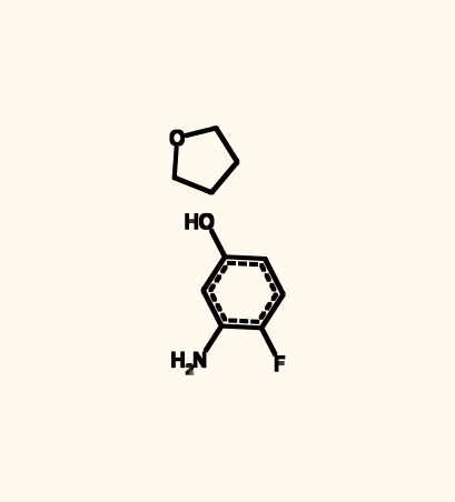 C1CCOC1.Nc1cc(O)ccc1F